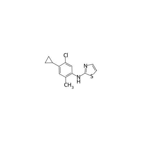 Cc1cc(C2CC2)c(Cl)cc1Nc1nccs1